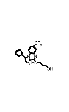 OCCCNc1nc2cc(C(F)(F)F)ccc2n2c(-c3ccccc3)cnc12